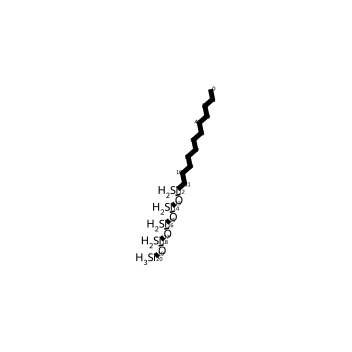 CCCCCCCCCCCC[SiH2]O[SiH2]O[SiH2]O[SiH2]O[SiH3]